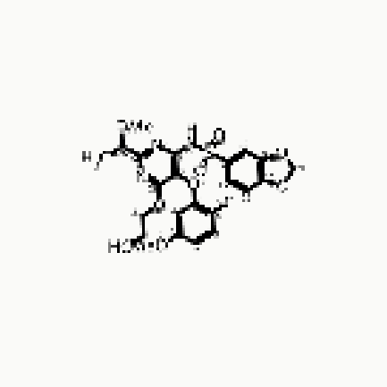 COc1ccc(Cl)c(Oc2c(NS(=O)(=O)c3ccc4c(c3)OCO4)nc(C(C)OC)nc2OCCO)c1